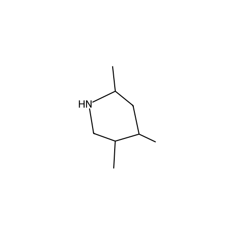 CC1CC(C)C(C)CN1